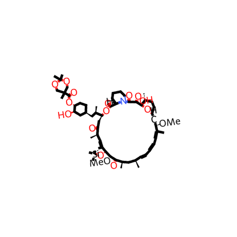 CO[C@H]1C[C@@H]2CC[C@@H](C)[C@@](O)(O2)C(=O)C(=O)N2CCCC[C@H]2C(=O)O[C@H]([C@H](C)C[C@@H]2CC[C@@H](OC(=O)C3(C)COC(C)(C)OC3)[C@H](O)C2)CC(=O)[C@H](C)/C=C(\C)[C@@H](O[Si](C)(C)C)[C@@H](OC)C(=O)[C@H](C)C[C@H](C)/C=C/C=C/C=C/1C